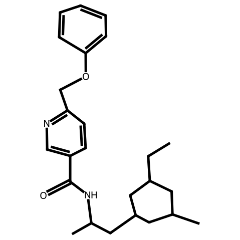 CCC1CC(C)CC(CC(C)NC(=O)c2ccc(COc3ccccc3)nc2)C1